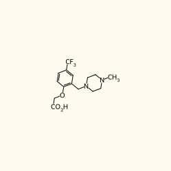 CN1CCN(Cc2cc(C(F)(F)F)ccc2OCC(=O)O)CC1